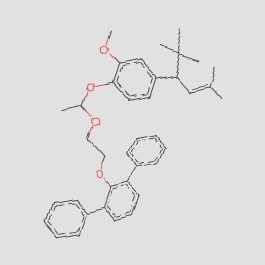 COc1cc(C(C=C(C)C)C(C)(C)C)ccc1OC(C)OCCOc1c(-c2ccccc2)cccc1-c1ccccc1